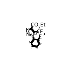 CCOC(=O)c1nnn(-c2ccccc2F)c1C(F)(F)F